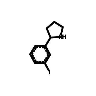 Ic1cccc(C2CCCN2)c1